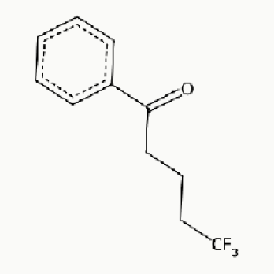 O=C(CCCC(F)(F)F)c1ccccc1